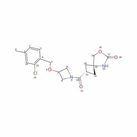 Cc1ccc(COC2CN(C(=O)[C@H]3C[C@]4(COC(=O)N4)C3)C2)c(Cl)c1